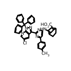 Cc1ccc(-c2cc(NC3C4CCC(CC4)C3C(=O)O)nc(-c3nn(C(c4ccccc4)(c4ccccc4)c4ccccc4)c4ncc(Cl)cc34)n2)cc1